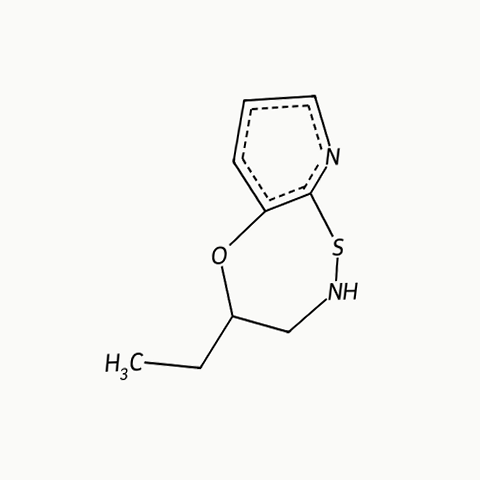 CCC1CNSc2ncccc2O1